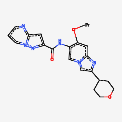 CC(C)Oc1cc2nc(C3CCOCC3)cn2cc1NC(=O)c1cc2ncccn2n1